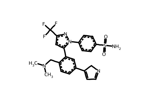 CN(C)Cc1ccc(C2=CC=NC2)cc1-c1cc(C(F)(F)F)nn1-c1ccc(S(N)(=O)=O)cc1